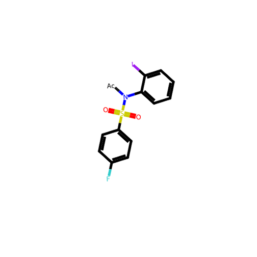 CC(=O)N(c1ccccc1I)S(=O)(=O)c1ccc(F)cc1